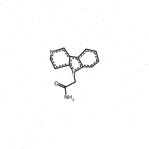 NC(=O)Cn1c2ccccc2c2cnccc21